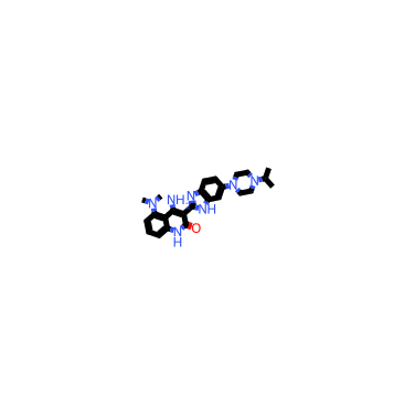 CC(C)N1CCN(c2ccc3nc(-c4c(N)c5c(N(C)C)cccc5[nH]c4=O)[nH]c3c2)CC1